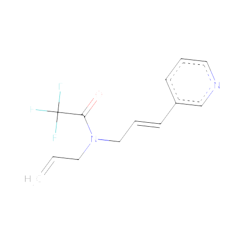 C=CCN(CC=Cc1cccnc1)C(=O)C(F)(F)F